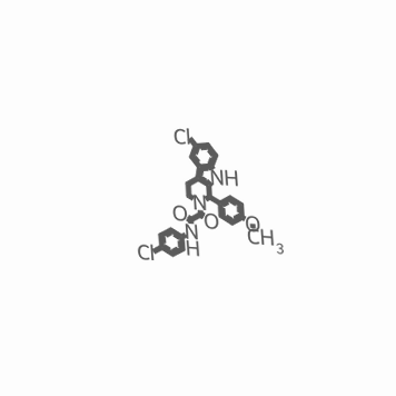 COc1ccc(C2c3[nH]c4ccc(Cl)cc4c3CCN2C(=O)C(=O)Nc2ccc(Cl)cc2)cc1